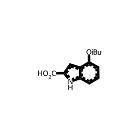 CC(C)COc1cccc2[nH]c(C(=O)O)cc12